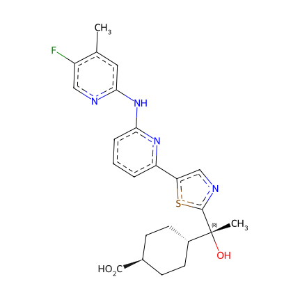 Cc1cc(Nc2cccc(-c3cnc([C@](C)(O)[C@H]4CC[C@H](C(=O)O)CC4)s3)n2)ncc1F